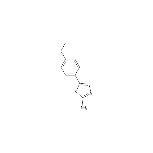 CCc1ccc(-c2cnc(N)s2)cc1